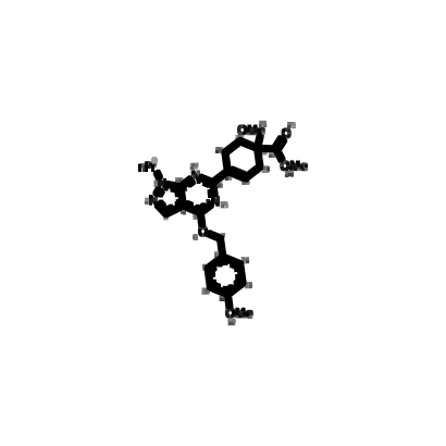 CCCn1ncc2c(OCc3ccc(OC)cc3)nc(C3=CCC(OC)(C(=O)OC)CC3)nc21